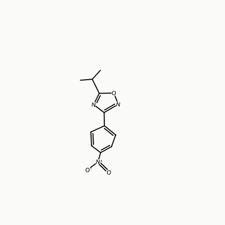 CC(C)c1nc(-c2ccc([N+](=O)[O-])cc2)no1